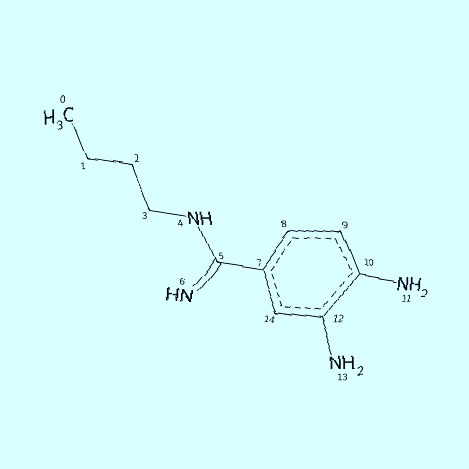 CCCCNC(=N)c1ccc(N)c(N)c1